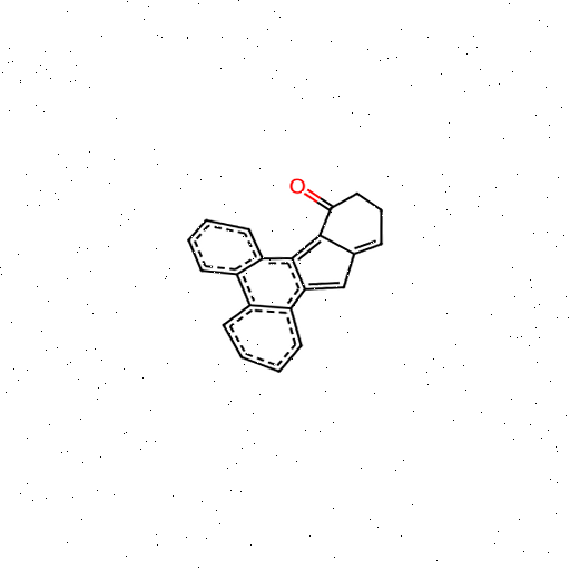 O=C1CCC=C2C=c3c(c4ccccc4c4ccccc34)=C12